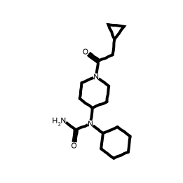 NC(=O)N(C1CCCCC1)C1CCN(C(=O)CC2CC2)CC1